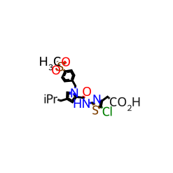 CC(C)Cc1cc(C(=O)Nc2nc(CC(=O)O)c(Cl)s2)n(Cc2ccc(S(C)(=O)=O)cc2)c1